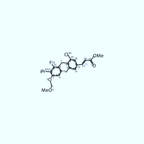 COCOc1ccc(Cc2c(C)cc(/C=C/C(=O)OC)cc2Cl)c(F)c1C(C)C